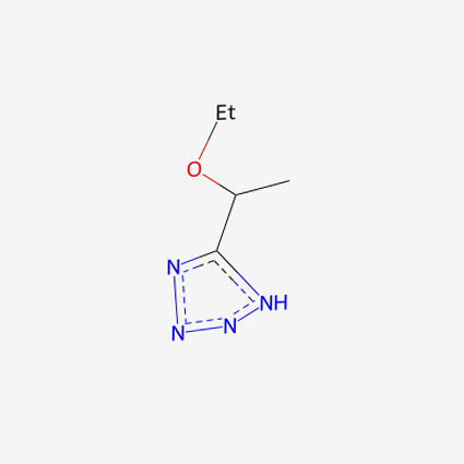 CCOC(C)c1nnn[nH]1